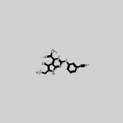 CCc1[nH]c2nc(Oc3cccc(C#N)c3)nc(C(C)=O)c2c1Cl